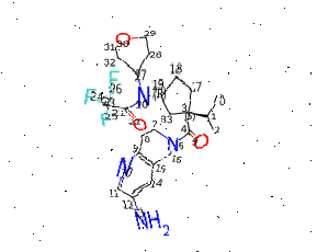 CC(C)[C@]1(C(=O)N2CCc3ncc(N)cc3C2)CC[C@@H](N(C(=O)C(F)(F)F)C2CCOCC2)C1